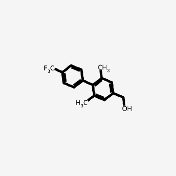 Cc1cc(CO)cc(C)c1-c1ccc(C(F)(F)F)cc1